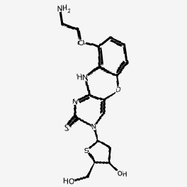 NCCOc1cccc2c1Nc1nc(=S)n([C@H]3CC(O)[C@@H](CO)S3)cc1O2